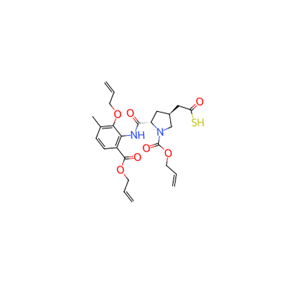 C=CCOC(=O)c1ccc(C)c(OCC=C)c1NC(=O)[C@@H]1C[C@@H](CC(=O)S)CN1C(=O)OCC=C